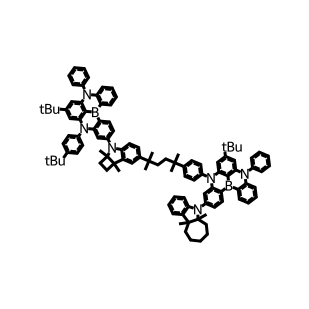 CC(C)(C)c1ccc(N2c3cc(N4c5ccc(C(C)(C)CCC(C)(C)c6ccc(N7c8cc(N9c%10ccccc%10C%10(C)CCCCCC9%10C)ccc8B8c9ccccc9N(c9ccccc9)c9cc(C(C)(C)C)cc7c98)cc6)cc5C5(C)CCC45C)ccc3B3c4ccccc4N(c4ccccc4)c4cc(C(C)(C)C)cc2c43)cc1